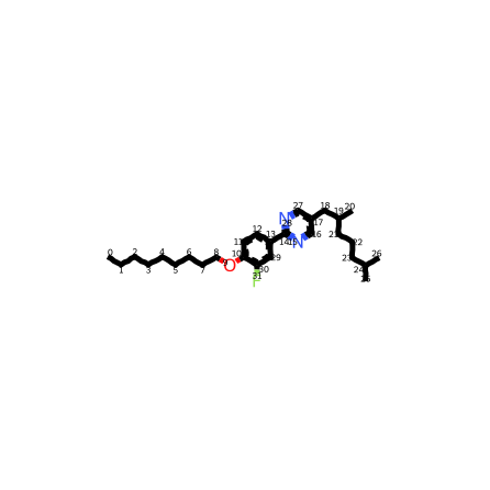 CCCCCCCCCOc1ccc(-c2ncc(CC(C)CCCC(C)C)cn2)cc1F